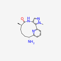 C[C@@H]1CCC[C@@H](N)c2cccc(n2)-c2c(cnn2C)NC1=O